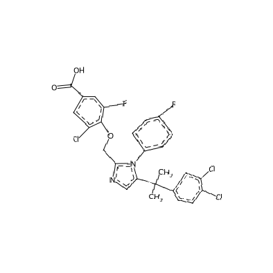 CC(C)(c1ccc(Cl)c(Cl)c1)c1cnc(COc2c(F)cc(C(=O)O)cc2Cl)n1-c1ccc(F)cc1